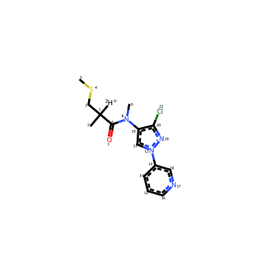 [2H]C(C)(CSC)C(=O)N(C)c1cn(-c2cccnc2)nc1Cl